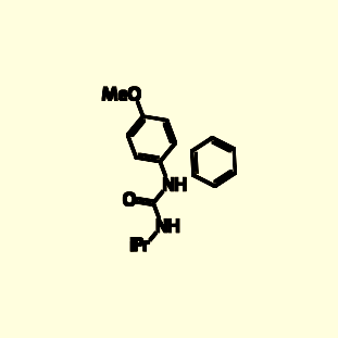 COc1ccc(NC(=O)NC(C)C)cc1.c1ccccc1